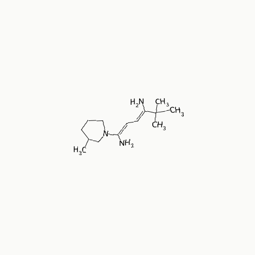 CC1CCCN(/C(N)=C/C=C(\N)C(C)(C)C)C1